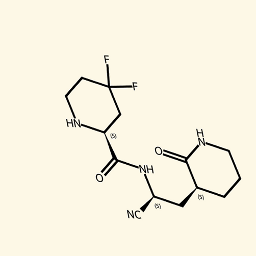 N#C[C@H](C[C@@H]1CCCNC1=O)NC(=O)[C@@H]1CC(F)(F)CCN1